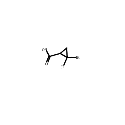 CCC1(Cl)CC1C(=O)N=O